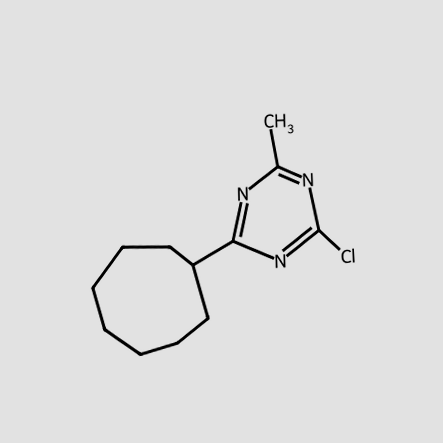 Cc1nc(Cl)nc(C2CCCCCCC2)n1